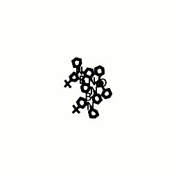 CC(C)(C)c1ccc2c(c1)B1c3ccc4c5c3N(c3cccc(c31)N2c1ccccc1)c1c(-c2ccccc2)oc(-c2ccccc2)c1N5c1cccc2c1B4c1ccc(C(C)(C)C)cc1N2c1ccccc1